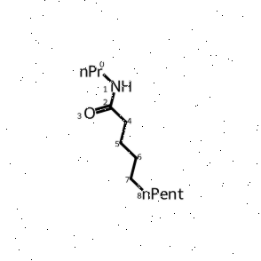 [CH2]CCNC(=O)CCCCCCCCC